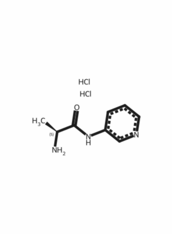 C[C@H](N)C(=O)Nc1cccnc1.Cl.Cl